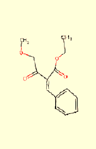 CCOC(=O)C(=Cc1ccccc1)C(=O)COC